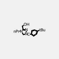 CCCN1CN(Cc2ccc(C(C)(C)C)cc2)N=C1CO